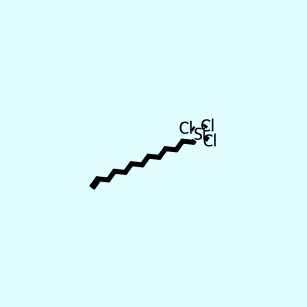 C=CCCCCCCCCCCC[Si](Cl)(Cl)Cl